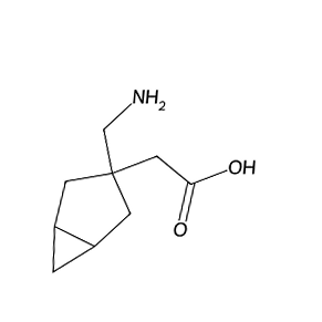 NCC1(CC(=O)O)CC2CC2C1